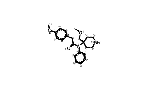 COCC1(N(C(=O)Cc2ccc(OC)cc2)c2ccccc2)CCNCC1